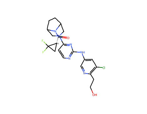 O=C([C@@H]1CC1(F)F)N1C2CCC1CN(c1ccnc(Nc3cnc(CCO)c(Cl)c3)n1)C2